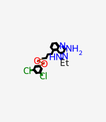 CCc1nc2c(N)nc3cccc(CCCCS(=O)(=O)c4cc(Cl)cc(Cl)c4)c3c2[nH]1